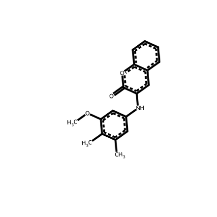 COc1cc(Nc2cc3ccccc3oc2=O)cc(C)c1C